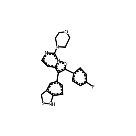 Fc1ccc(-c2nn3c(N4CCOCC4)nccc3c2-c2ccc3c(c2)CSN3)cc1